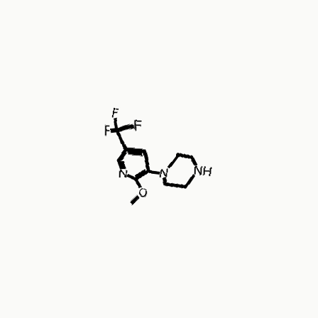 COc1ncc(C(F)(F)F)cc1N1CCNCC1